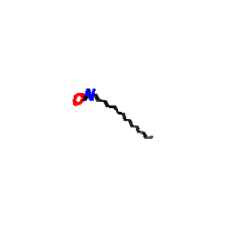 CCCCCCCCCCCCCCCN(C)C=O